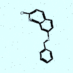 Clc1ccc2ccc(SCc3ccccc3)cc2n1